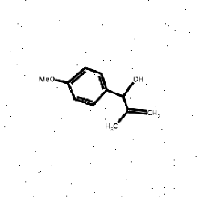 C=C(C)C(O)c1ccc(OC)cc1